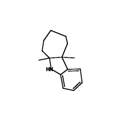 CC12CCCCCC1(C)c1ccccc1N2